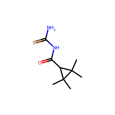 CC1(C)C(C(=O)NC(N)=S)C1(C)C